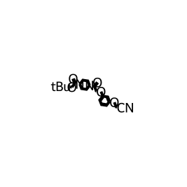 CC(C)(C)OC(=O)N1CCN(C(=O)COc2cccc(OCC#N)c2)CC1